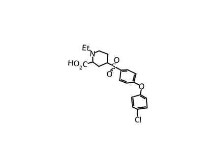 CCN1CCC(S(=O)(=O)c2ccc(Oc3ccc(Cl)cc3)cc2)CC1C(=O)O